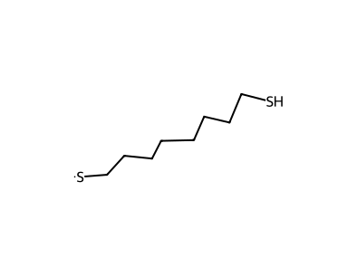 [S]CCCCCCCCS